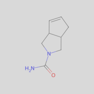 NC(=O)N1CC2C=CCC2C1